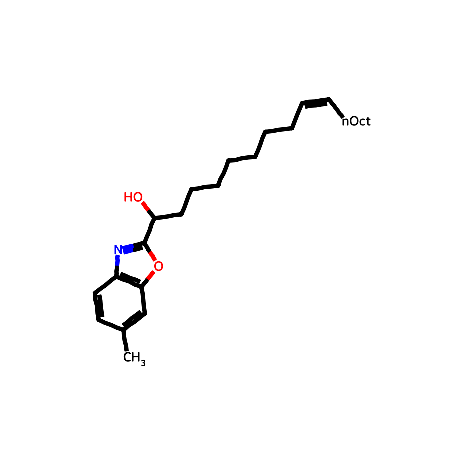 CCCCCCCC/C=C\CCCCCCCC(O)c1nc2ccc(C)cc2o1